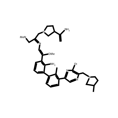 C=C(N)C1CCN(C/C(CNC)=N/C=C(\OC)c2cccc(-c3cccc(-c4cnc(CN5CCC(C)C5)c(CC)n4)c3C)c2N)C1